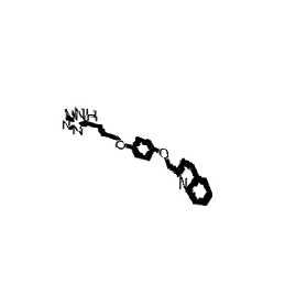 c1ccc2nc(COc3ccc(OCCCc4nnn[nH]4)cc3)ccc2c1